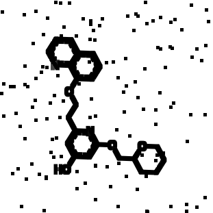 Oc1cc(CCOc2cccc3cccnc23)nc(OCC2CCCCO2)c1